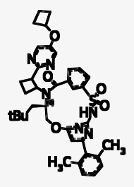 Cc1cccc(C)c1-c1cc2nc(n1)NS(=O)(=O)c1cccc(c1)C(=O)N(C1CCC1c1ncc(OC3CCC3)cn1)[C@H](CC(C)(C)C)CO2